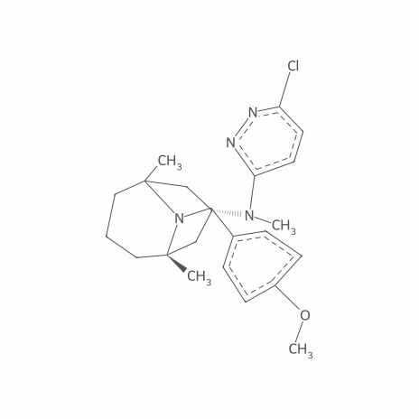 COc1ccc(CN2C3(C)CCC[C@@]2(C)C[C@@H](N(C)c2ccc(Cl)nn2)C3)cc1